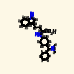 CN(C)C(c1ccccc1)C1CCC(NC(CCc2c[nH]c3ccccc23)C(=O)O)CC1